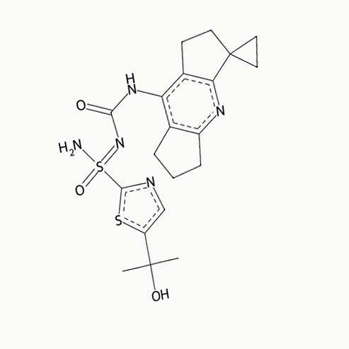 CC(C)(O)c1cnc(S(N)(=O)=NC(=O)Nc2c3c(nc4c2CCC42CC2)CCC3)s1